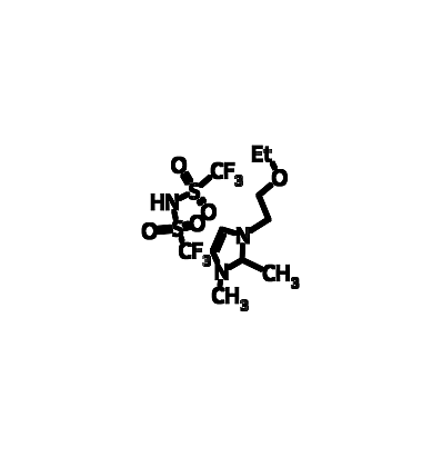 CCOCCN1C=CN(C)C1C.O=S(=O)(NS(=O)(=O)C(F)(F)F)C(F)(F)F